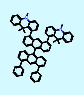 CN1c2ccccc2C(C)(C)c2c(-c3cccc4c(-c5c6cccc(-c7ccccc7)c6cc6c(-c7ccccc7)cccc56)c5cccc(-c6cccc7c6C(C)(C)c6ccccc6N7C)c5cc34)cccc21